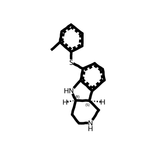 Cc1ccccc1Sc1cccc2c1N[C@@H]1CCNC[C@H]21